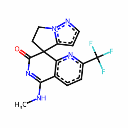 CNC1=NC(=O)C2(CCn3nccc32)c2nc(C(F)(F)F)ccc21